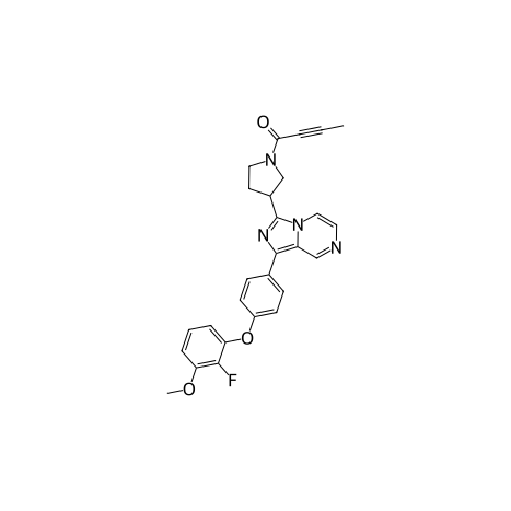 CC#CC(=O)N1CCC(c2nc(-c3ccc(Oc4cccc(OC)c4F)cc3)c3cnccn23)C1